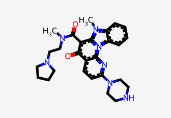 CN(CCN1CCCC1)C(=O)c1c(=O)c2ccc(N3CCNCC3)nc2n2c3ccccc3n(C)c12